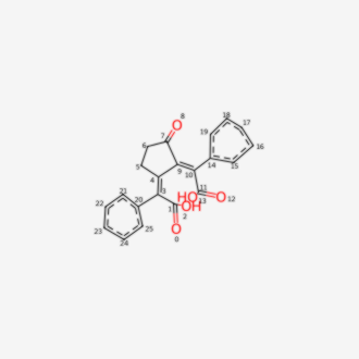 O=C(O)C(=C1CCC(=O)C1=C(C(=O)O)c1ccccc1)c1ccccc1